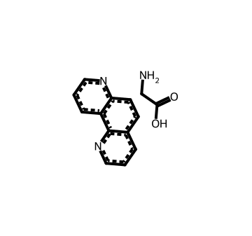 NCC(=O)O.c1cnc2c(c1)ccc1ncccc12